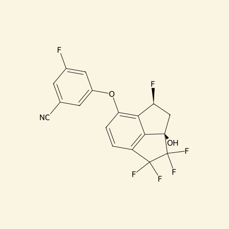 N#Cc1cc(F)cc(Oc2ccc3c4c2[C@@H](F)C[C@]4(O)C(F)(F)C3(F)F)c1